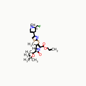 C=CCOC(=O)C1=C(Sc2nc(C3=CCN(C)[C@@H](CF)C3)cs2)[C@H](C)[C@@H]2[C@@H]([C@@H](C)O[Si](C)(C)C)C(=O)N12